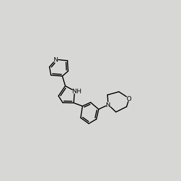 c1cc(-c2ccc(-c3ccncc3)[nH]2)cc(N2CCOCC2)c1